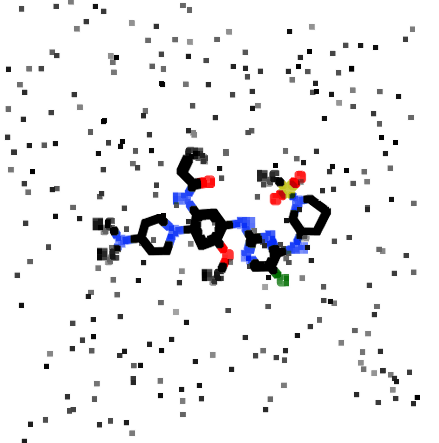 C=CC(=O)Nc1cc(Nc2ncc(Cl)c(N[C@@H]3CCCN(S(C)(=O)=O)C3)n2)c(OC)cc1N1CCC(N(C)C)CC1